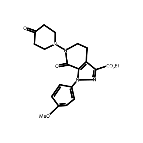 CCOC(=O)c1nn(-c2ccc(OC)cc2)c2c1CCN(N1CCC(=O)CC1)C2=O